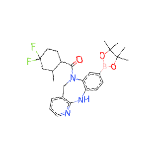 CC1CC(F)(F)CCC1C(=O)N1Cc2cccnc2Nc2ccc(B3OC(C)(C)C(C)(C)O3)cc21